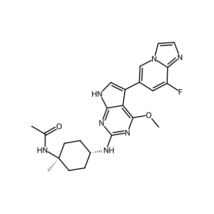 COc1nc(N[C@H]2CC[C@](C)(NC(C)=O)CC2)nc2[nH]cc(-c3cc(F)c4nccn4c3)c12